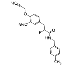 C#CCOc1ccc(CC(F)C(=O)NCc2ccc(C)cc2)cc1OC